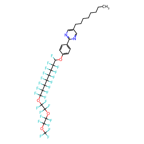 CCCCCCCCc1cnc(-c2ccc(OC(F)C(F)(F)C(F)(F)C(F)(F)C(F)(F)C(F)(F)C(F)(F)C(F)(F)OC(F)(F)C(F)(F)OC(F)(F)C(F)(F)OC(F)(F)F)cc2)nc1